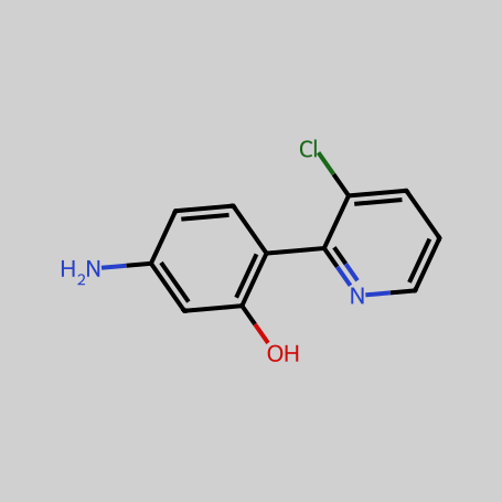 Nc1ccc(-c2ncccc2Cl)c(O)c1